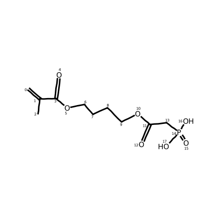 C=C(C)C(=O)OCCCCOC(=O)CP(=O)(O)O